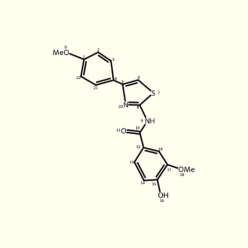 COc1ccc(-c2csc(NC(=O)c3ccc(O)c(OC)c3)n2)cc1